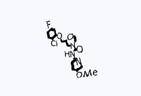 COc1ccc(NC(=O)N2CCOC(COc3cc(F)ccc3Cl)C2)nc1